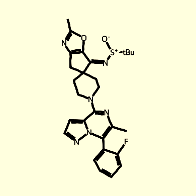 Cc1nc2c(o1)/C(=N\[S@+]([O-])C(C)(C)C)C1(CCN(c3nc(C)c(-c4ccccc4F)n4nccc34)CC1)C2